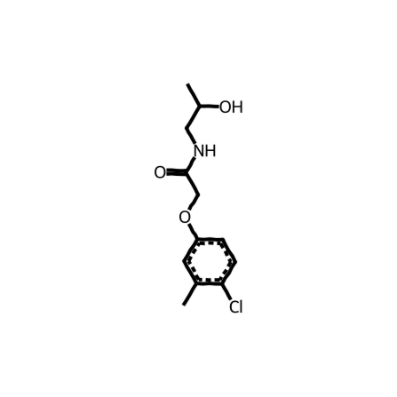 Cc1cc(OCC(=O)NCC(C)O)ccc1Cl